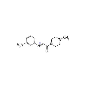 CN1CCN(C(=O)/C=N/c2cccc(N)c2)CC1